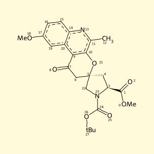 COC(=O)[C@@H]1C[C@@]2(CC(=O)c3c(c(C)nc4ccc(OC)cc34)O2)CN1C(=O)OC(C)(C)C